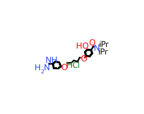 CC(C)N(C(=O)c1ccc(OCCCCCOc2ccc(C(=N)N)cc2)cc1O)C(C)C.Cl